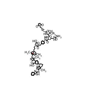 Cc1c(Nc2nc3ccccc3s2)nnc2c1CCCN2c1ccc(-c2cnn(CC34CC5(CCCN(CC(=O)O)C(=O)OCc6ccc(NC(=O)[C@H](CCCNC(N)=O)NC(=O)[C@@H](NC(=O)CCOCCN7C(=O)C=CC7=O)C(C)C)cc6)C[C@@](C)(C3)C[C@](C)(C5)C4)c2C)c(C(=O)O)n1